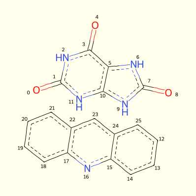 O=c1[nH]c(=O)c2[nH]c(=O)[nH]c2[nH]1.c1ccc2nc3ccccc3cc2c1